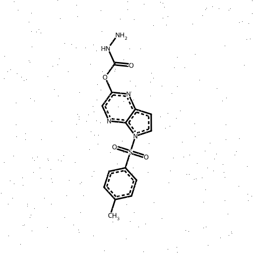 Cc1ccc(S(=O)(=O)n2ccc3nc(OC(=O)NN)cnc32)cc1